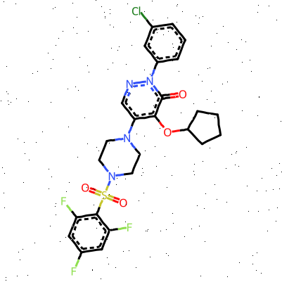 O=c1c(OC2CCCC2)c(N2CCN(S(=O)(=O)c3c(F)cc(F)cc3F)CC2)cnn1-c1cccc(Cl)c1